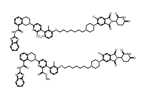 Cc1c(OCCCCCCCN2CCN(c3cc4c(cc3F)C(=O)N(C3CCC(=O)NC3=O)C4=O)CC2)cccc1-c1ccc(N2CCc3cccc(C(=O)Nc4nc5ccccc5s4)c3C2)nc1C(=O)O.Cc1c(OCCCCCCCN2CCN(c3cc4c(cc3F)C(=O)N(C3CCC(=O)NC3=O)C4=O)CC2)cccc1-c1ccc(N2CCc3cccc(C(=O)Nc4nc5ccccc5s4)c3C2)nc1C(=O)OC(C)(C)C